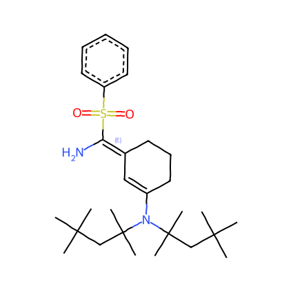 CC(C)(C)CC(C)(C)N(C1=C/C(=C(\N)S(=O)(=O)c2ccccc2)CCC1)C(C)(C)CC(C)(C)C